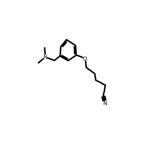 CN(C)Cc1cccc(OCCCCC#N)c1